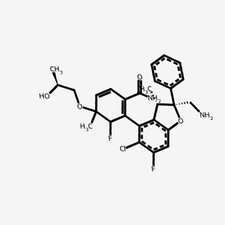 C[C@H](O)COC1(C)C=CC(C(N)=O)=C(c2c(Cl)c(F)cc3c2[C@H](C)[C@@](CN)(c2ccccc2)O3)C1F